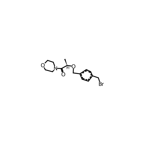 C[C@@H](OCc1ccc(CBr)cc1)C(=O)N1CCOCC1